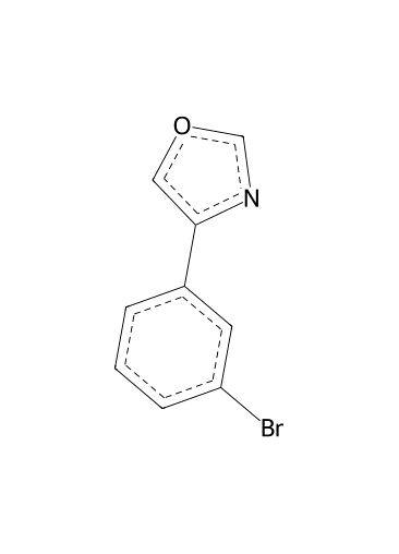 Brc1cccc(-c2cocn2)c1